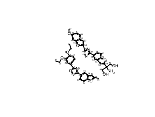 CCOc1ccc(-c2nc(-c3ccc4oc(C)cc4c3)no2)cc1OCC.COc1ccc2cc(-c3nc(-c4ccc5oc(C(N)(CO)CO)cc5c4)no3)oc2c1